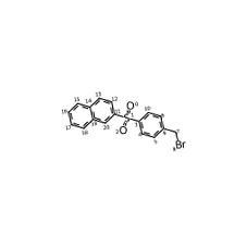 O=S(=O)(c1ccc(CBr)cc1)c1ccc2ccccc2c1